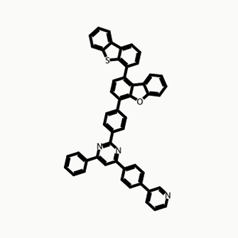 c1ccc(-c2cc(-c3ccc(-c4cccnc4)cc3)nc(-c3ccc(-c4ccc(-c5cccc6c5sc5ccccc56)c5c4oc4ccccc45)cc3)n2)cc1